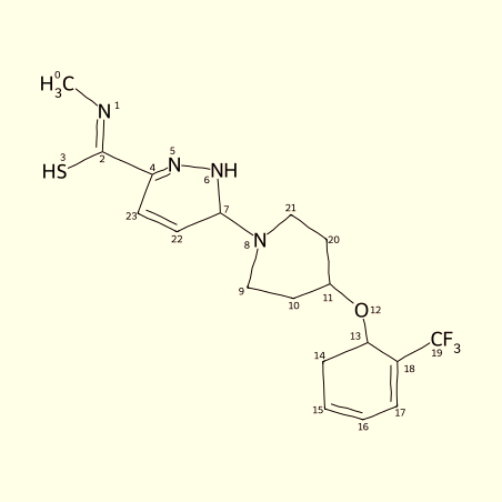 C/N=C(\S)C1=NNC(N2CCC(OC3CC=CC=C3C(F)(F)F)CC2)C=C1